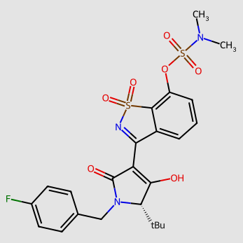 CN(C)S(=O)(=O)Oc1cccc2c1S(=O)(=O)N=C2C1=C(O)[C@H](C(C)(C)C)N(Cc2ccc(F)cc2)C1=O